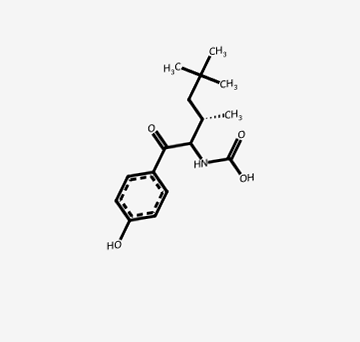 C[C@@H](CC(C)(C)C)C(NC(=O)O)C(=O)c1ccc(O)cc1